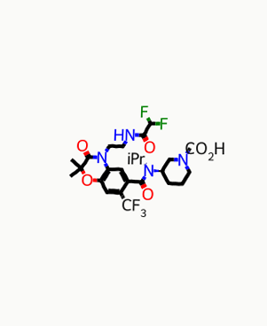 CC(C)N(C(=O)c1cc2c(cc1C(F)(F)F)OC(C)(C)C(=O)N2CCNC(=O)C(F)F)[C@@H]1CCCN(C(=O)O)C1